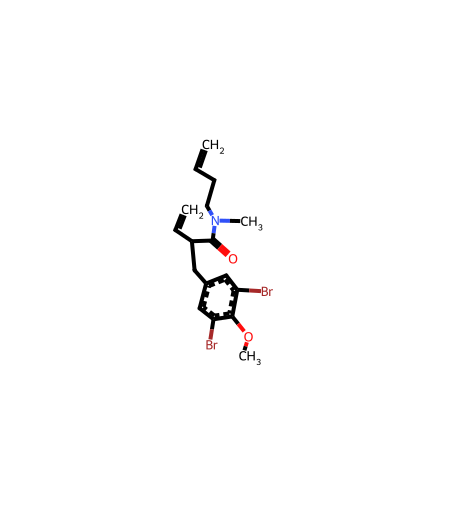 C=CCCN(C)C(=O)C(C=C)Cc1cc(Br)c(OC)c(Br)c1